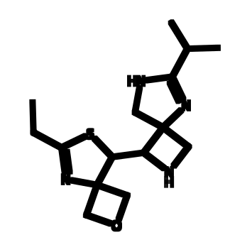 CCC1=NC2(COC2)C(C2NCC23CNC(C(C)C)=N3)S1